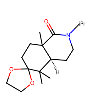 CC(C)N1CC[C@@H]2C(C)(CCC3(OCCO3)C2(C)C)C1=O